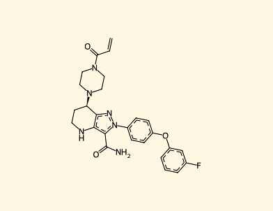 C=CC(=O)N1CCN([C@@H]2CCNc3c2nn(-c2ccc(Oc4cccc(F)c4)cc2)c3C(N)=O)CC1